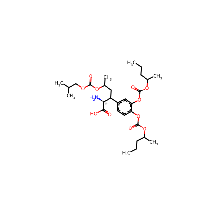 CCCC(C)OC(=O)Oc1ccc(C(CC(C)OC(=O)OCC(C)C)[C@H](N)C(=O)O)cc1OC(=O)OC(C)CCC